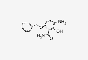 NC(=O)c1c(OCc2ccccc2)ccc(N)c1O